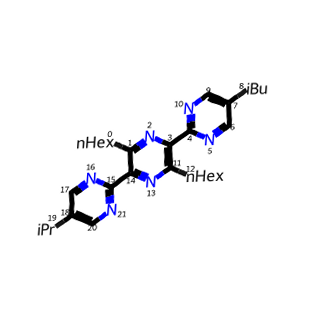 CCCCCCc1nc(-c2ncc(C(C)CC)cn2)c(CCCCCC)nc1-c1ncc(C(C)C)cn1